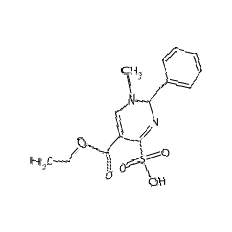 CCOC(=O)C1=CN(C)C(c2ccccc2)N=C1S(=O)(=O)O